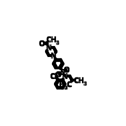 CC(=O)N1CCN(c2ccc(S(=O)(=O)N(CC(C)C)c3ccccc3Cl)cc2)CC1